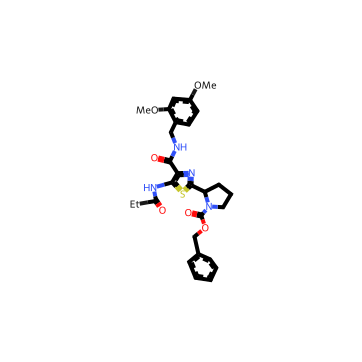 CCC(=O)Nc1sc(C2CCCN2C(=O)OCc2ccccc2)nc1C(=O)NCc1ccc(OC)cc1OC